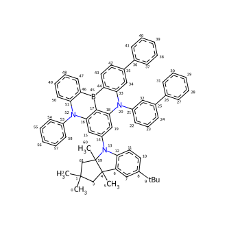 CC1(C)CC2(C)c3cc(C(C)(C)C)ccc3N(c3cc4c5c(c3)N(c3cccc(-c6ccccc6)c3)c3cc(-c6ccccc6)ccc3B5c3ccccc3N4c3ccccc3)C2(C)C1